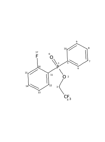 O=P(OCC(F)(F)F)(c1ccccc1)c1ccccc1F